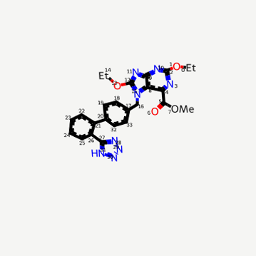 CCOc1nc(C(=O)OC)c2c(n1)nc(OCC)n2Cc1ccc(-c2ccccc2-c2nnn[nH]2)cc1